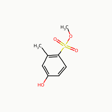 COS(=O)(=O)c1ccc(O)cc1C